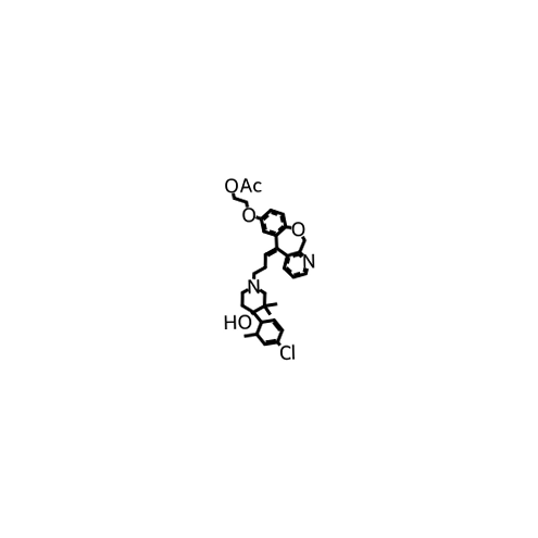 CC(=O)OCCOc1ccc2c(c1)/C(=C/CCN1CCC(O)(C3C=CC(Cl)=CC3C)C(C)(C)C1)c1cccnc1CO2